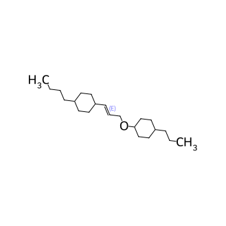 CCCCC1CCC(/C=C/COC2CCC(CCC)CC2)CC1